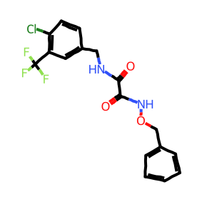 O=C(NCc1ccc(Cl)c(C(F)(F)F)c1)C(=O)NOCc1ccccc1